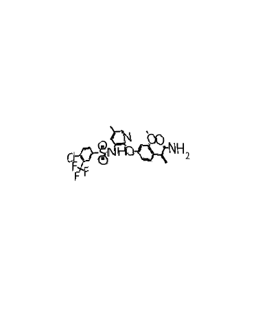 C=C(C(N)=O)c1ccc(Oc2ncc(C)cc2NS(=O)(=O)c2ccc(Cl)c(C(F)(F)F)c2)cc1OC